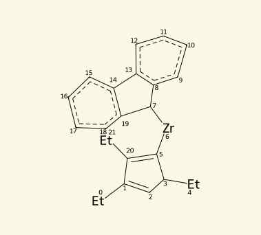 CCC1=CC(CC)[C]([Zr][CH]2c3ccccc3-c3ccccc32)=C1CC